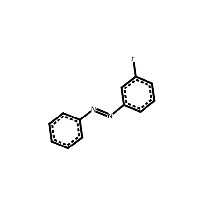 Fc1cccc(N=Nc2ccccc2)c1